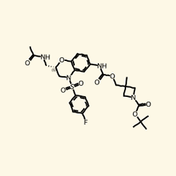 CC(=O)NC[C@H]1CN(S(=O)(=O)c2ccc(F)cc2)c2cc(NC(=O)OCC3(C)CN(C(=O)OC(C)(C)C)C3)ccc2O1